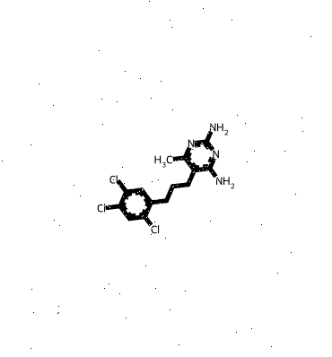 Cc1nc(N)nc(N)c1CCCc1cc(Cl)c(Cl)cc1Cl